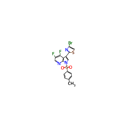 Cc1ccc(S(=O)(=O)n2cc(-c3nc(Br)cs3)c3c(F)c(F)cnc32)cc1